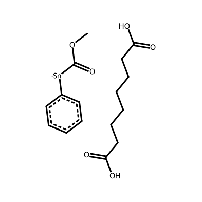 CO[C](=O)[Sn][c]1ccccc1.O=C(O)CCCCCCC(=O)O